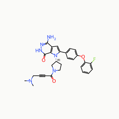 CN(C)CC#CC(=O)N1CC[C@@H](n2c(-c3ccc(Oc4ccccc4F)cc3)cc3c(N)n[nH]c(=O)c32)C1